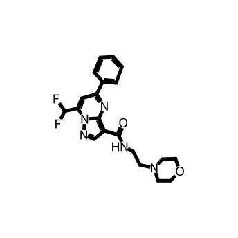 O=C(NCCN1CCOCC1)c1cnn2c(C(F)F)cc(-c3ccccc3)nc12